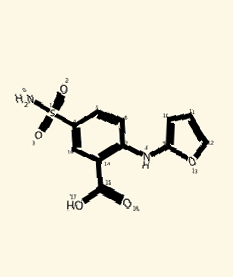 NS(=O)(=O)c1ccc(Nc2ccco2)c(C(=O)O)c1